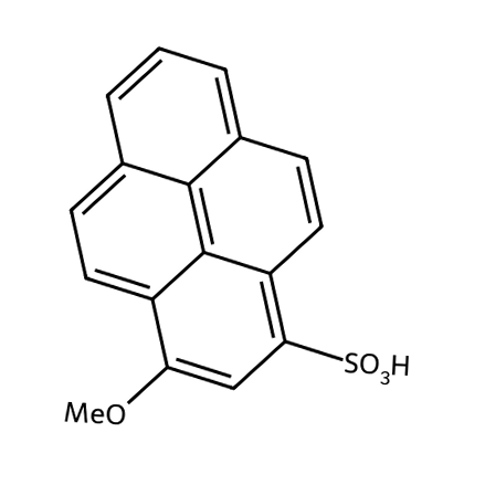 COc1cc(S(=O)(=O)O)c2ccc3cccc4ccc1c2c43